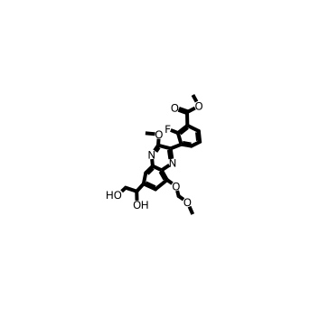 COCOc1cc(C(O)CO)cc2nc(OC)c(-c3cccc(C(=O)OC)c3F)nc12